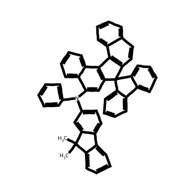 CC1(C)c2ccccc2-c2ccc(N(c3ccccc3)c3cc4c(c5ccccc35)-c3c(ccc5ccccc35)C43c4ccccc4-c4ccccc43)cc21